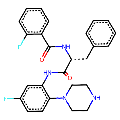 O=C(N[C@H](Cc1ccccc1)C(=O)Nc1cc(F)ccc1N1CCNCC1)c1ccccc1F